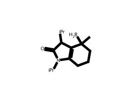 BC1(C)CCCC2=C1C(C(C)C)C(=O)N2C(C)C